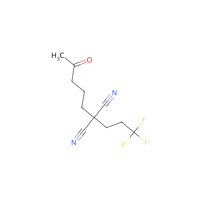 CC(=O)CCCC(C#N)(C#N)CCC(F)(F)F